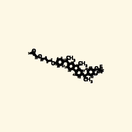 CC(c1ccc(OCCCCOCC2CO2)cc1)c1ccc2c(c1)C(C)c1cc(C(C)c3ccc(OC(F)(F)F)cc3)ccc1-2